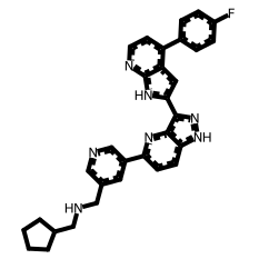 Fc1ccc(-c2ccnc3[nH]c(-c4n[nH]c5ccc(-c6cncc(CNCC7CCCC7)c6)nc45)cc23)cc1